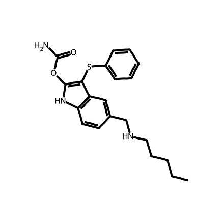 CCCCCNCc1ccc2[nH]c(OC(N)=O)c(Sc3ccccc3)c2c1